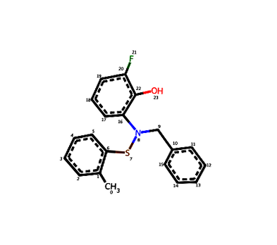 Cc1ccccc1SN(Cc1ccccc1)c1cccc(F)c1O